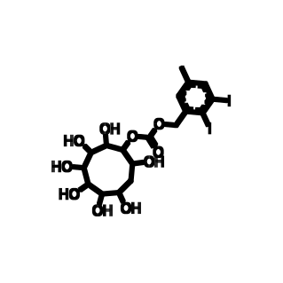 Cc1cc(I)c(I)c(COC(=O)OC2C(O)CC(O)C(O)C(O)C(O)C(O)C2O)c1